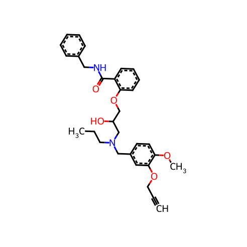 C#CCOc1cc(CN(CCC)CC(O)COc2ccccc2C(=O)NCc2ccccc2)ccc1OC